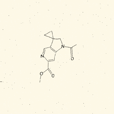 COC(=O)c1cc2c(cn1)C1(CC1)CN2C(C)=O